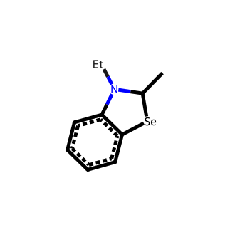 CCN1c2ccccc2[Se]C1C